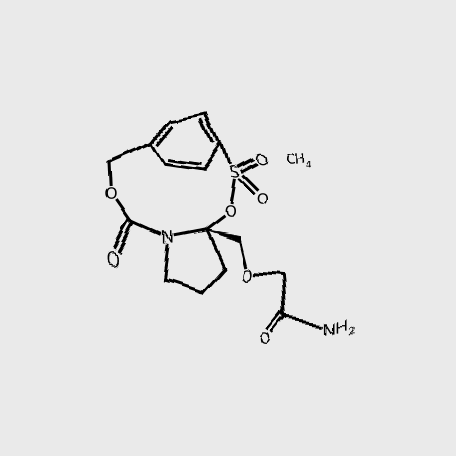 C.NC(=O)COC[C@@]12CCCN1C(=O)OCc1ccc(cc1)S(=O)(=O)O2